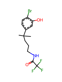 CC(C)(CCCNC(=O)C(F)(F)F)c1ccc(Br)c(O)c1